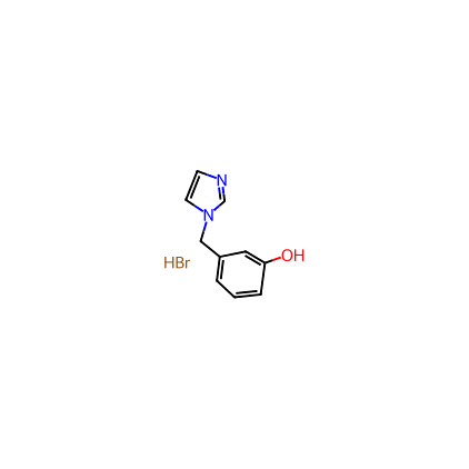 Br.Oc1cccc(Cn2ccnc2)c1